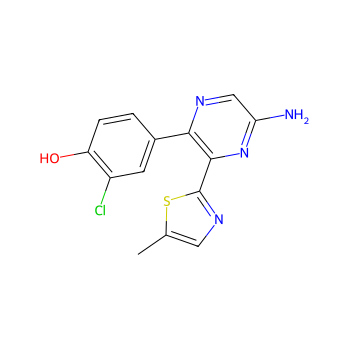 Cc1cnc(-c2nc(N)cnc2-c2ccc(O)c(Cl)c2)s1